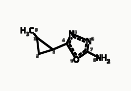 CC1CC1c1nnc(N)o1